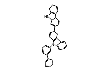 C1=CC2=C(CC1)NC1C=C(C3C=Cc4c(c5ccccc5n4-c4cccc(-c5ccccc5)c4)C3)C=CC21